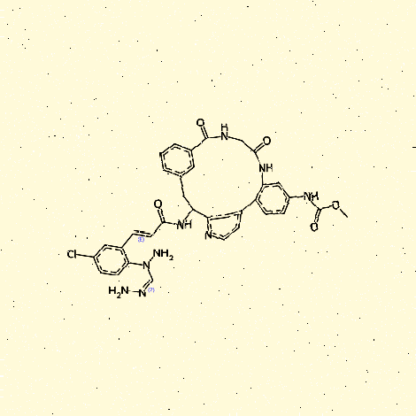 COC(=O)Nc1ccc2c(c1)NC(=O)CNC(=O)c1cccc(c1)CC(NC(=O)/C=C/c1cc(Cl)ccc1N(N)/C=N\N)c1cc-2ccn1